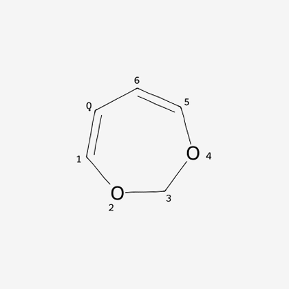 [C]1=COCOC=C1